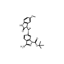 COc1ccc2c(c1)[C@]1(C[C@H]1c1ccc3c(N)nn(C(=O)OC(C)(C)C)c3c1)C(=O)N2